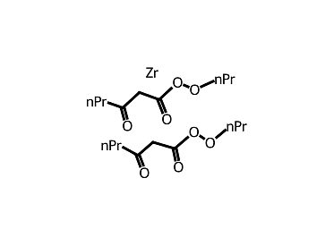 CCCOOC(=O)CC(=O)CCC.CCCOOC(=O)CC(=O)CCC.[Zr]